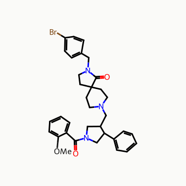 COc1ccccc1C(=O)N1CC(CN2CCC3(CC2)CCN(Cc2ccc(Br)cc2)C3=O)C(c2ccccc2)C1